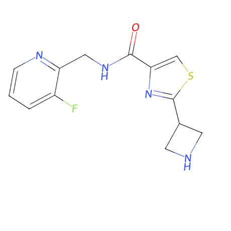 O=C(NCc1ncccc1F)c1csc(C2CNC2)n1